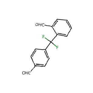 O=Cc1ccc(C(F)(F)c2ccccc2C=O)cc1